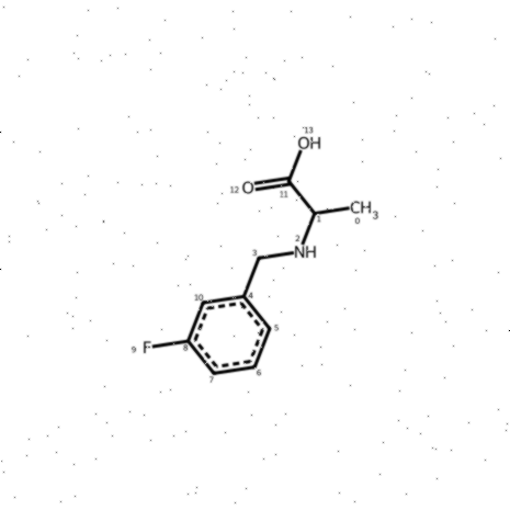 CC(NCc1cccc(F)c1)C(=O)O